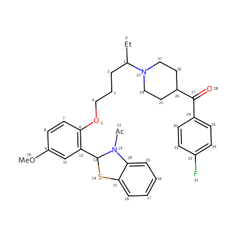 CCC(CCCOc1ccc(OC)cc1C1Sc2ccccc2N1C(C)=O)N1CCC(C(=O)c2ccc(F)cc2)CC1